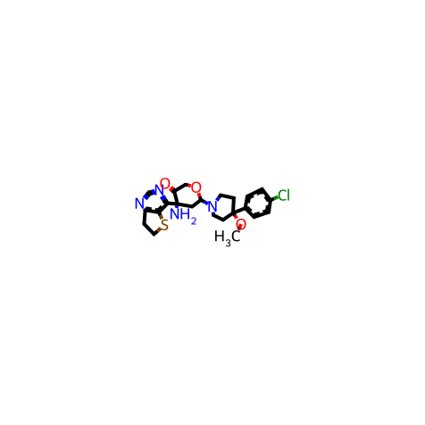 COC1(c2ccc(Cl)cc2)CCN(C2CC(N)(c3ncnc4c3SCC4)C(=O)CO2)CC1